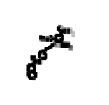 COc1cc(C(N)=O)cc(N)c1NCCCN1CCN(NC(=O)c2ccc3ccccc3c2)CC1